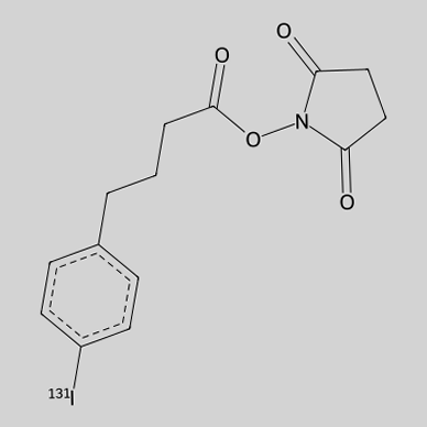 O=C(CCCc1ccc([131I])cc1)ON1C(=O)CCC1=O